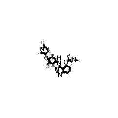 CNC[C@H](C)Oc1cccc2ncnc(Nc3ccc(Oc4ccc(C)nc4)c(C)c3)c12